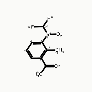 CC(=O)c1cccc([S+]([O-])C(F)F)c1C